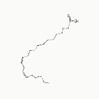 CCCCC/C=C\C/C=C\CCCCCCCCCCCC(=O)O